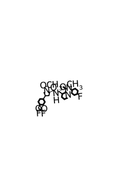 CC(=O)N1CC(c2ccc3c(c2)OC(F)(F)O3)C[C@@H]1C(=O)NCc1cccnc1C(=O)N(C)c1ccc(F)cc1